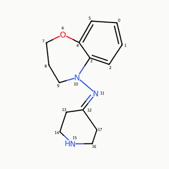 c1ccc2c(c1)OCCCN2N=C1CCNCC1